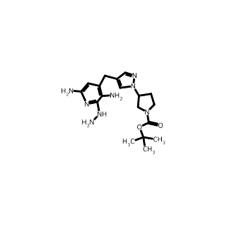 CC(C)(C)OC(=O)N1CCC(n2cc(Cc3cc(N)nc(NN)c3N)cn2)C1